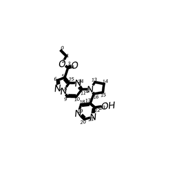 CCOC(=O)c1cnn2ccc(N3CCCC3c3cncnc3O)nc12